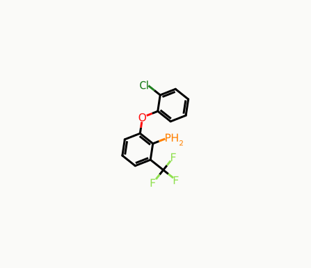 FC(F)(F)c1cccc(Oc2ccccc2Cl)c1P